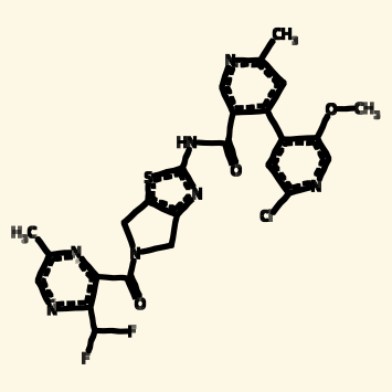 COc1cnc(Cl)cc1-c1cc(C)ncc1C(=O)Nc1nc2c(s1)CN(C(=O)c1nc(C)cnc1C(F)F)C2